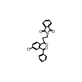 O=C(CCN1C(=O)c2ccccc2C1=O)c1ccc(Cl)cc1C(=O)c1ccccc1